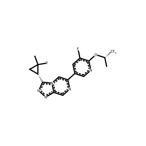 C[C@H](Oc1ncc(-c2cn3c([C@@H]4CC4(C)F)nnc3cn2)cc1F)C(F)(F)F